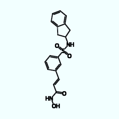 O=C(C=Cc1cccc(S(=O)(=O)NC2Cc3ccccc3C2)c1)NO